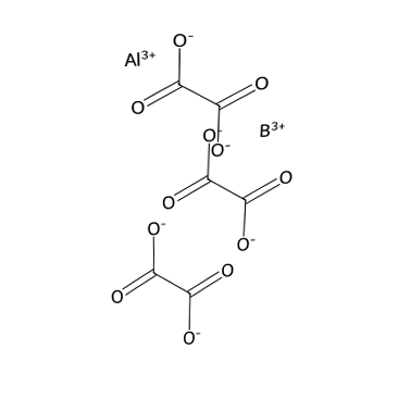 O=C([O-])C(=O)[O-].O=C([O-])C(=O)[O-].O=C([O-])C(=O)[O-].[Al+3].[B+3]